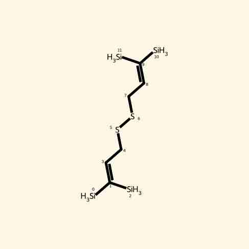 [SiH3]C([SiH3])=CCSSCC=C([SiH3])[SiH3]